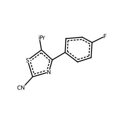 [C-]#[N+]c1nc(-c2ccc(F)cc2)c(C(C)C)s1